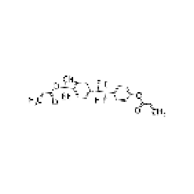 C=CC(=O)Oc1ccc(C(F)(F)C(F)(F)c2ccc(C(C)(CC)OC(=O)C=C)cc2)cc1